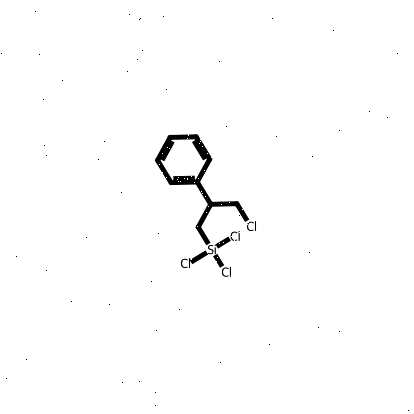 ClCC(C[Si](Cl)(Cl)Cl)c1ccccc1